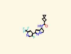 O=C(N[C@H]1CCn2nc(-c3cc(C(F)(F)F)ncc3F)cc21)C1CC2(CC2)C1